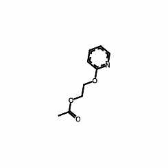 CC(=O)OCCOc1ccccn1